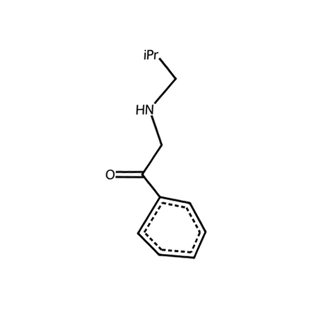 CC(C)CNCC(=O)c1ccccc1